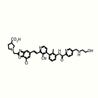 Cc1c(NC(=O)c2ccc(CNCCO)cn2)cccc1-c1ccnc(/C=C/c2cc(Cl)c3oc(CN4CCC(C(=O)O)C4)nc3c2)c1C#N